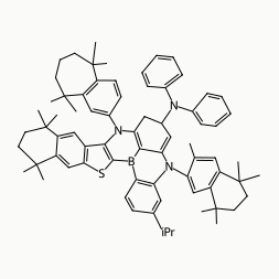 Cc1cc2c(cc1N1C3=CC(N(c4ccccc4)c4ccccc4)CC4=C3B(c3ccc(C(C)C)cc31)c1sc3cc5c(cc3c1N4c1ccc3c(c1)C(C)(C)CCCC3(C)C)C(C)(C)CCC5(C)C)C(C)(C)CCC2(C)C